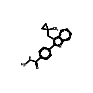 CNC(=O)c1ccc(-c2nc3ccccc3n2CC2(C)CC2)cc1